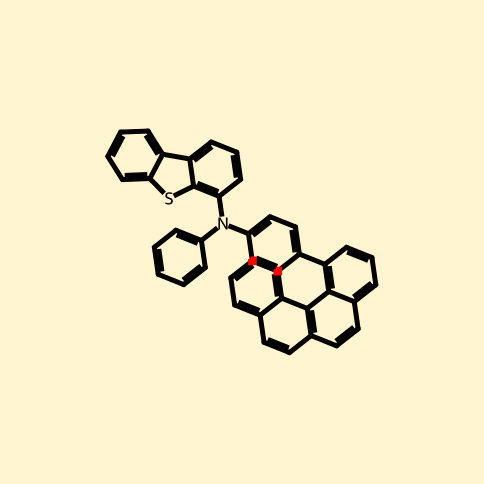 c1ccc(N(c2ccc(-c3cccc4ccc5ccc6ccccc6c5c34)cc2)c2cccc3c2sc2ccccc23)cc1